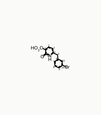 O=C(O)c1ccc(Cc2cccc(Br)c2)[nH]c1=O